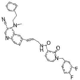 CN(CCc1ccccc1)c1c(C#N)cnc2ccc(C#CCNC(=O)c3cccn(Cc4ccc(F)c(F)c4)c3=O)cc12